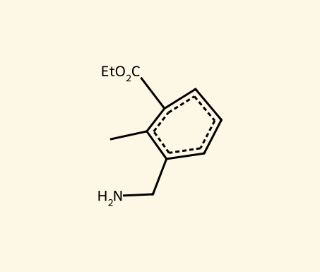 CCOC(=O)c1cccc(CN)c1C